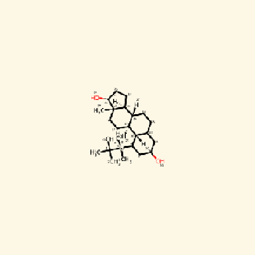 CC(C)(C)[Si](C)(C)C1CC(O)CC2CC[C@@H]3[C@H](CC[C@]4(C)[C@@H](O)CC[C@@H]34)[C@H]21